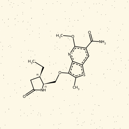 CC[C@@H]1CC(=O)N[C@@H]1COc1c(C)sc2cc(C(N)=O)c(OC)nc12